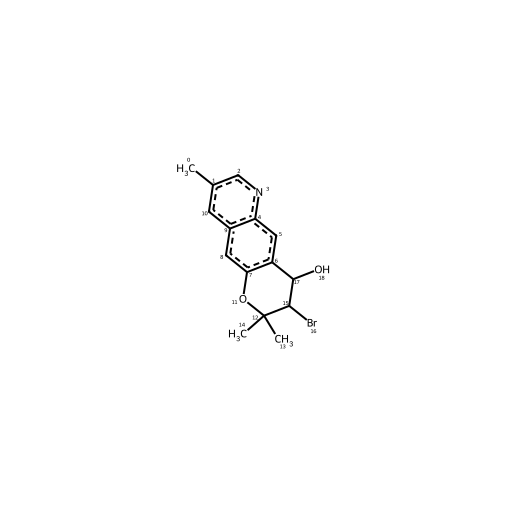 Cc1cnc2cc3c(cc2c1)OC(C)(C)C(Br)C3O